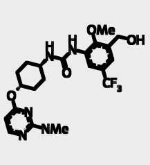 CNc1nccc(O[C@H]2CC[C@H](NC(=O)Nc3cc(C(F)(F)F)cc(CO)c3OC)CC2)n1